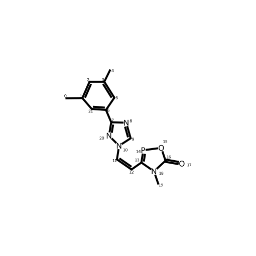 Cc1cc(C)cc(-c2ncn(/C=C\c3poc(=O)n3C)n2)c1